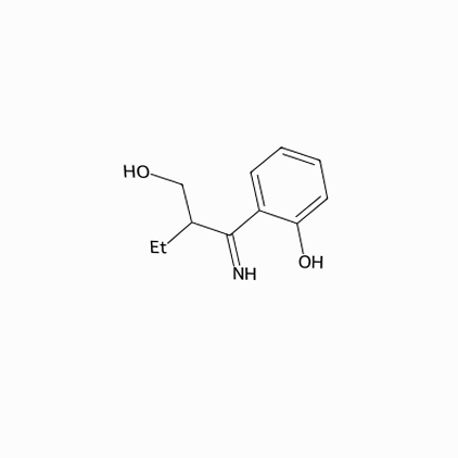 CCC(CO)C(=N)c1ccccc1O